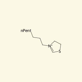 CCCCCCCC[N+]1=CSCC1